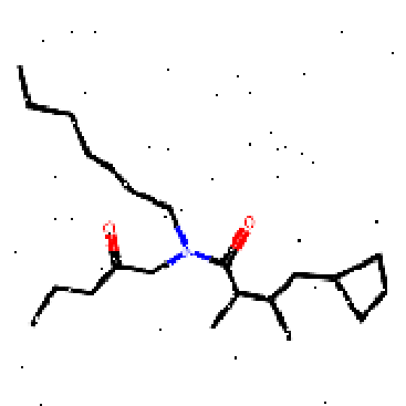 CCCCCCCN(CC(=O)CCC)C(=O)C(C)C(C)CC1CCC1